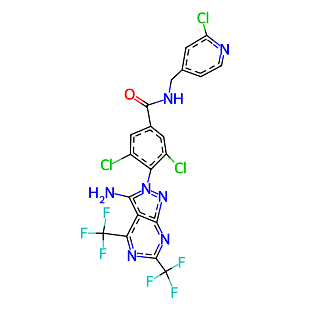 Nc1c2c(C(F)(F)F)nc(C(F)(F)F)nc2nn1-c1c(Cl)cc(C(=O)NCc2ccnc(Cl)c2)cc1Cl